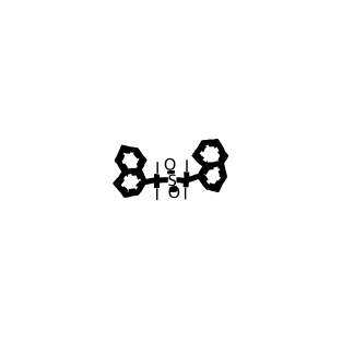 O=S(=O)(C(I)(I)c1cccc2ccccc12)C(I)(I)c1cccc2ccccc12